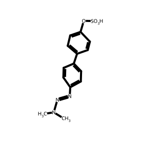 CN(C)N=Nc1ccc(-c2ccc(OS(=O)(=O)O)cc2)cc1